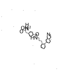 N[C@@H](Cc1ccc(C(=O)NCCCc2ccccc2-c2ccc3ccncc3c2)cc1)C(=O)O